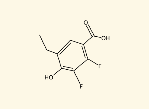 CCc1cc(C(=O)O)c(F)c(F)c1O